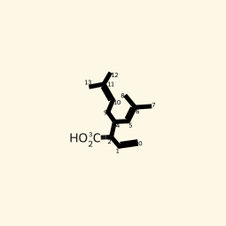 C=CC(C(=O)O)C(C=C(C)C)CC=C(C)C